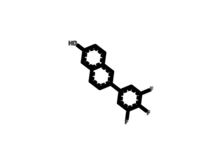 Oc1ccc2cc(-c3cc(F)c(F)c(F)c3)ccc2c1